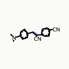 CN(C)c1ccc(/C=C(\C#N)c2ccc(C#N)cc2)cc1